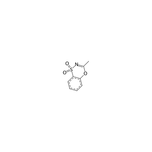 CC1=NS(=O)(=O)c2ccccc2O1